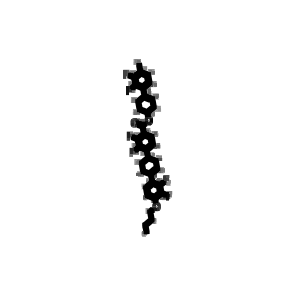 CCCCOc1ccc(C2=CCC(c3ccc(C(=O)OC4CC=C(c5ccc(C)c(F)c5F)CC4)c(F)c3F)CC2)c(F)c1F